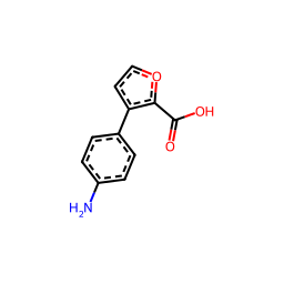 Nc1ccc(-c2ccoc2C(=O)O)cc1